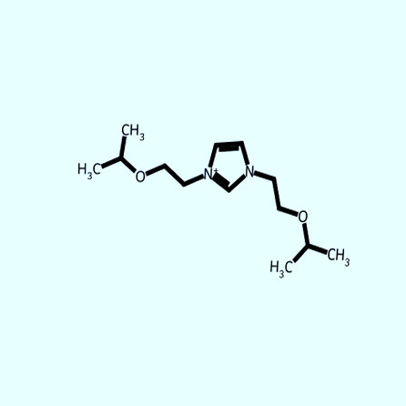 CC(C)OCCn1cc[n+](CCOC(C)C)c1